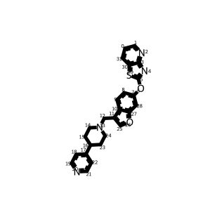 c1cnc2nc(Oc3ccc4c(CN5CCC(c6ccncc6)CC5)coc4c3)sc2c1